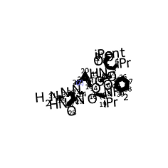 CCC[C@H](C)OC(=O)C(CC(C)C)NP(=O)(OC[C@@]1(COC(=O)[C@H](N)C(C)C)C/C1=C/n1cnc2c(=O)[nH]c(N)nc21)Oc1ccccc1